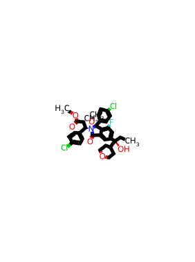 CCOC(=O)[C@@H](C)[C@@H](c1ccc(Cl)cc1)N1C(=O)c2cc([C@](O)(CC)C3CCOCC3)cc(F)c2[C@]1(OC)c1ccc(Cl)cc1